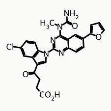 CN(C(N)=O)c1nc(-n2cc(C(=O)CCC(=O)O)c3cc(Cl)ccc32)nc2ccc(-c3ccco3)cc12